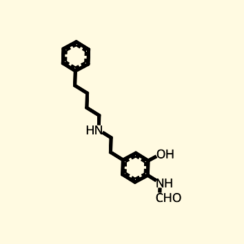 O=CNc1ccc(CCNCCCCc2ccccc2)cc1O